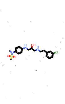 CN(c1ccc(NCC(O)CNCCc2cccc(Cl)c2)cc1)S(C)(=O)=O